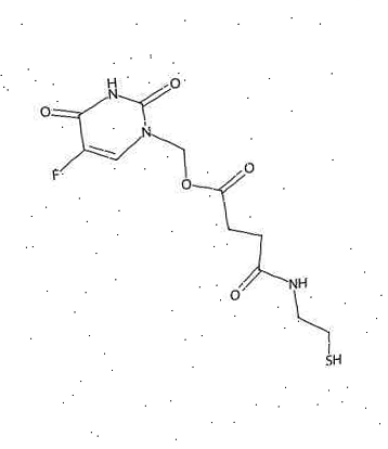 O=C(CCC(=O)OCn1cc(F)c(=O)[nH]c1=O)NCCS